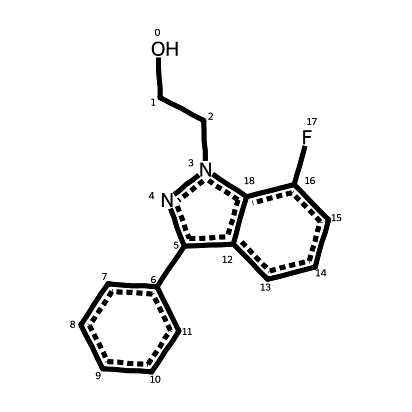 OCCn1nc(-c2ccccc2)c2cccc(F)c21